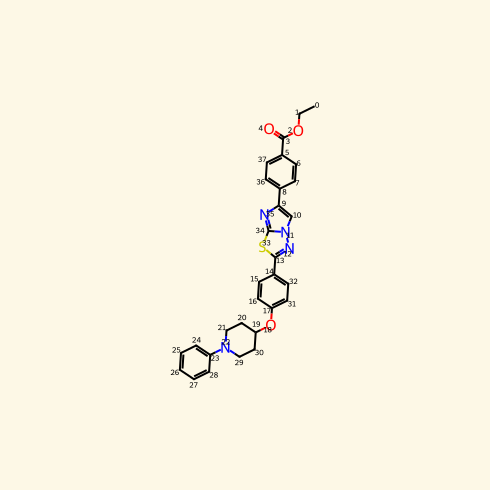 CCOC(=O)c1ccc(-c2cn3nc(-c4ccc(OC5CCN(c6ccccc6)CC5)cc4)sc3n2)cc1